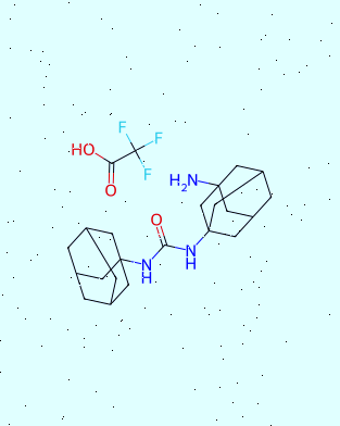 NC12CC3CC(C1)CC(NC(=O)NC14CC5CC(CC(C5)C1)C4)(C3)C2.O=C(O)C(F)(F)F